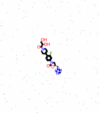 O=C([C@@H](O)CO)N1CC=C(c2ccc(N3C[C@H](Cn4ncnn4)OC3=O)cc2F)CC1